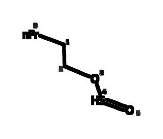 CCCCCO[SH]=O